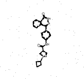 O=C(Nc1ccc(-c2n[nH]c(=O)c3ccccc23)cc1)c1cnn(C2CCC2)c1